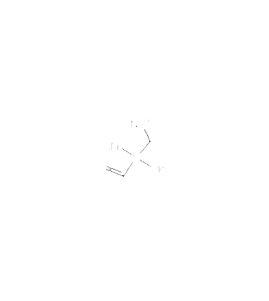 C=CS(CC#N)(CCC)CCC